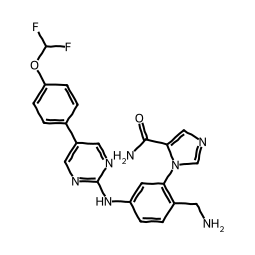 NCc1ccc(Nc2ncc(-c3ccc(OC(F)F)cc3)cn2)cc1-n1cncc1C(N)=O